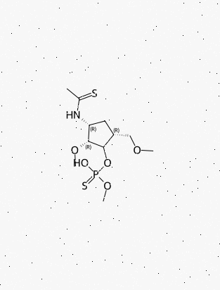 COC[C@H]1C[C@@H](NC(C)=S)[C@@H](OC)C1OP(O)(=S)OC